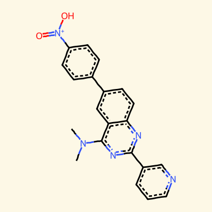 CN(C)c1nc(-c2cccnc2)nc2ccc(-c3ccc([N+](=O)O)cc3)cc12